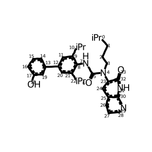 CC(C)CCCN(C(=O)Nc1c(C(C)C)cc(-c2cccc(O)c2)cc1C(C)C)c1cc2cccnc2[nH]c1=O